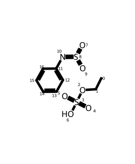 CCOS(=O)(=O)O.O=S(=O)=Nc1ccccc1